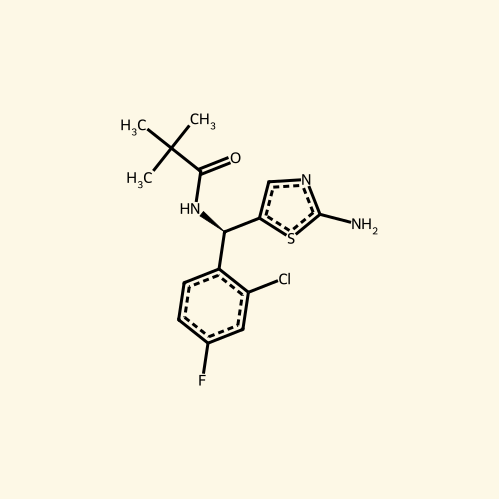 CC(C)(C)C(=O)N[C@@H](c1cnc(N)s1)c1ccc(F)cc1Cl